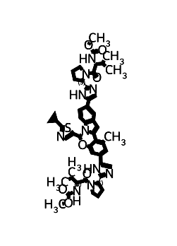 COC(=O)NC(C(=O)N1CCC[C@H]1c1ncc(-c2ccc3c(c2)cc2n3C(c3cnc(C4CC4)s3)Oc3cc(-c4cnc([C@@H]5CCCN5C(=O)[C@@H](NC(=O)OC)C(C)C)[nH]4)cc(C)c3-2)[nH]1)C(C)C